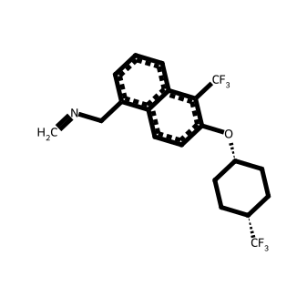 C=NCc1cccc2c(C(F)(F)F)c(O[C@H]3CC[C@@H](C(F)(F)F)CC3)ccc12